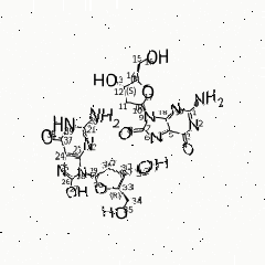 NC1=NC(=O)C2=NC(=O)N([C@H]3C[C@H](O)[C@@H](CO)O3)C2=N1.Nc1nc2c(nc(O)n2[C@H]2C[C@H](O)[C@@H](CO)O2)c(=O)[nH]1